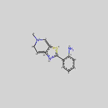 CN1C=c2sc(-c3ccccc3N)nc2=CC1